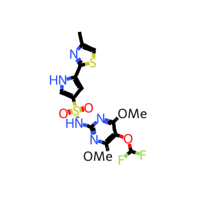 COc1nc(NS(=O)(=O)c2c[nH]c(-c3nc(C)cs3)c2)nc(OC)c1OC(F)F